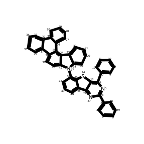 c1ccc(-c2nc(-c3ccccc3)c3sc4c(-n5c6ccccc6c6c7c8ccccc8c8ccccc8c7ccc65)cccc4c3n2)cc1